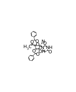 C[C@@H](OC(=O)c1ccccc1)[C@H]1O[C@@](C#N)(n2ccc(=O)[nH]c2=O)[C@H](O)[C@@H]1OC(=O)c1ccccc1